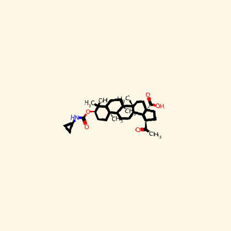 CC(=O)[C@@H]1CC[C@]2(C(=O)O)CC[C@]3(C)C(CCC4[C@@]5(C)CC[C@@H](OC(=O)NC6CC6)C(C)(C)C5CC[C@]43C)C12